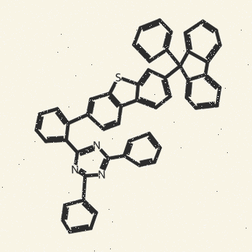 c1ccc(-c2nc(-c3ccccc3)nc(-c3ccccc3-c3ccc4c(c3)sc3cc(C5(c6ccccc6)c6ccccc6-c6ccccc65)ccc34)n2)cc1